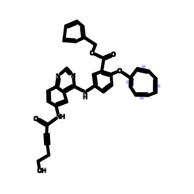 O=C(C#CCCO)Nc1ccc2ncnc(Nc3ccc(OC4=C/C=C\C=C/C=C\4)c(C(=O)OCc4ccccc4)c3)c2c1